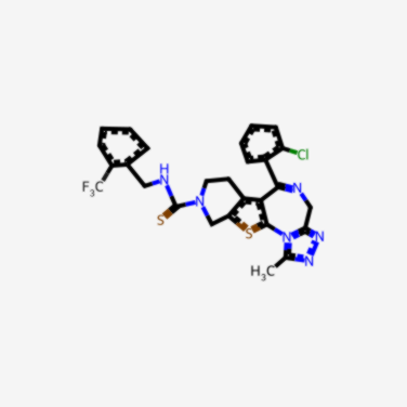 Cc1nnc2n1-c1sc3c(c1C(c1ccccc1Cl)=NC2)CCN(C(=S)NCc1ccccc1C(F)(F)F)C3